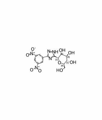 O=[N+]([O-])c1cc(-c2n[nH]c([C@@H]3O[C@H](CO)[C@@H](O)[C@H](O)[C@H]3O)n2)cc([N+](=O)[O-])c1